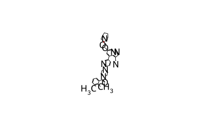 Cc1cccc(C(=O)N2CCN(c3ccc(-c4cc(OCCN5C6CCC5CC(=O)C6)cn5ncc(C#N)c45)cn3)CC2)c1C